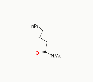 CCCC[CH]CC(=O)NC